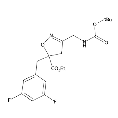 CCOC(=O)C1(Cc2cc(F)cc(F)c2)CC(CNC(=O)OC(C)(C)C)=NO1